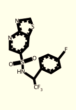 O=S(=O)(NC(c1ccc(F)cc1)C(F)(F)F)c1cnc2ncsc2c1